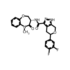 CN1C(=O)[C@@H](NC(=O)c2n[nH]c3c2CC(c2ccc(F)c(F)c2)OC3)COc2ccccc21